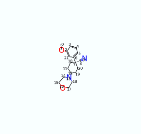 COc1cccc([C@]2(C#N)CC[C@@H](N3CCOCC3)CC2)c1